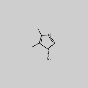 CCn1[c]nc(C)c1C